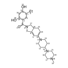 CCc1cc(C(=O)N2CC3=CC(N4CCC(N5CCN(C)CC5)CC4)=CCC3C2)c(O)cc1O